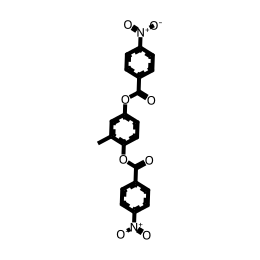 Cc1cc(OC(=O)c2ccc([N+](=O)[O-])cc2)ccc1OC(=O)c1ccc([N+](=O)[O-])cc1